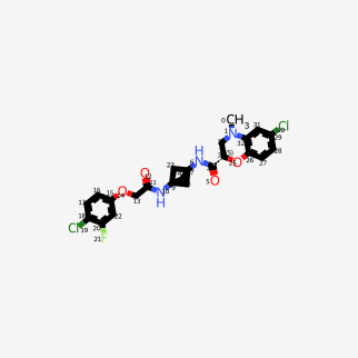 CN1C[C@@H](C(=O)NC23CC(NC(=O)COc4ccc(Cl)c(F)c4)(C2)C3)Oc2ccc(Cl)cc21